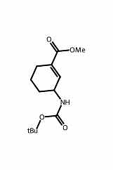 COC(=O)C1=CC(NC(=O)OC(C)(C)C)CCC1